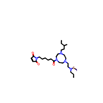 CCCN(CCN1CCN(CCC(C)CC)CCN(C(=O)CCCCCN2C(=O)C=CC2=O)CC1)SI